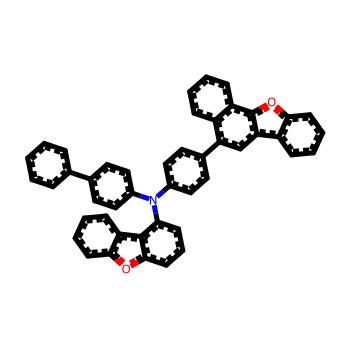 c1ccc(-c2ccc(N(c3ccc(-c4cc5c6ccccc6oc5c5ccccc45)cc3)c3cccc4oc5ccccc5c34)cc2)cc1